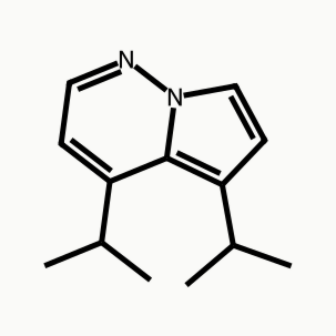 CC(C)c1ccnn2ccc(C(C)C)c12